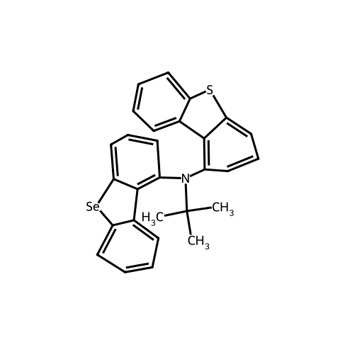 CC(C)(C)N(c1cccc2sc3ccccc3c12)c1cccc2[se]c3ccccc3c12